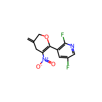 C=C1COC(c2cc(F)cnc2F)=C([N+](=O)[O-])C1